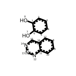 Oc1ccccc1O.c1ccc2nnncc2c1